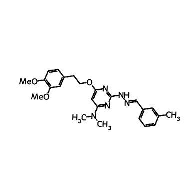 COc1ccc(CCOc2cc(N(C)C)nc(N/N=C/c3cccc(C)c3)n2)cc1OC